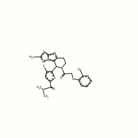 Cc1nn2c3c(nc2s1)CCN(C(=O)COc1cccnc1Cl)C3c1sc(C(=O)N(C)C)cc1F